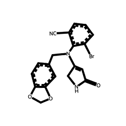 N#Cc1cccc(Br)c1N(Cc1ccc2c(c1)OCO2)C1=CC(=O)NC1